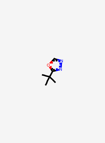 CC(C)(C)c1nn[c]o1